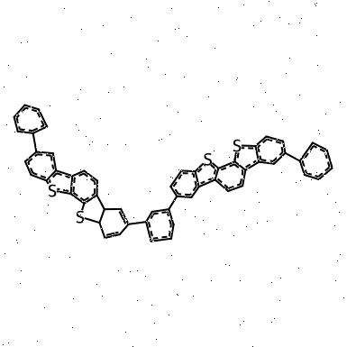 C1=CC2Sc3c(ccc4c3sc3ccc(-c5ccccc5)cc34)C2C=C1c1cccc(-c2ccc3sc4c(ccc5c6cc(-c7ccccc7)ccc6sc54)c3c2)c1